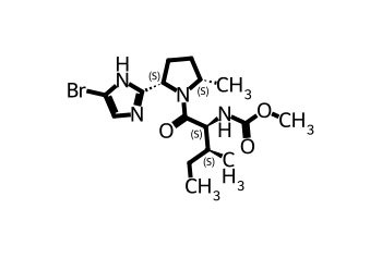 CC[C@H](C)[C@H](NC(=O)OC)C(=O)N1[C@@H](C)CC[C@H]1c1ncc(Br)[nH]1